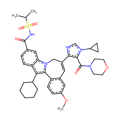 COc1ccc2c(c1)C=C(c1ncn(C3CC3)c1C(=O)N1CCOCC1)Cn1c-2c(C2CCCCC2)c2ccc(C(=O)NS(=O)(=O)C(C)C)cc21